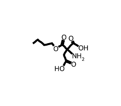 CCCCOC(=O)C(N)(CC(=O)O)C(=O)O